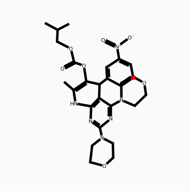 CC1=C(OC(=O)OCC(C)C)C(c2cccc([N+](=O)[O-])c2)c2c(nc(N3CCOCC3)nc2N2CCOCC2)N1